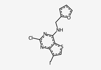 Clc1nc(NCc2ccco2)c2scc(I)c2n1